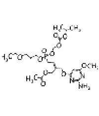 CCOCCCOP(=O)(C/C=C(\COC(C)=O)COc1cc(OC)nc(N)n1)OCOC(=O)OC(C)C